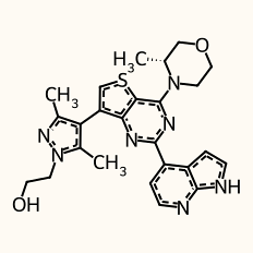 Cc1nn(CCO)c(C)c1-c1csc2c(N3CCOC[C@H]3C)nc(-c3ccnc4[nH]ccc34)nc12